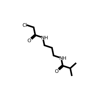 CC(C)C(=O)NCCCNC(=O)CCl